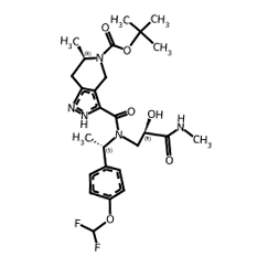 CNC(=O)[C@H](O)CN(C(=O)c1[nH]nc2c1CN(C(=O)OC(C)(C)C)[C@H](C)C2)[C@@H](C)c1ccc(OC(F)F)cc1